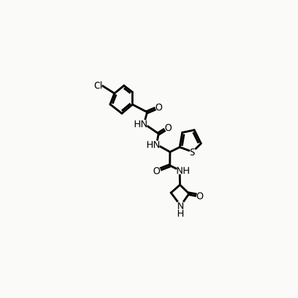 O=C(NC(=O)c1ccc(Cl)cc1)NC(C(=O)NC1CNC1=O)c1cccs1